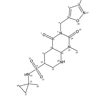 Cc1cc(CN2C(=O)C3CC(S(=O)(=O)NC4(C)CC4)CNC3N(C)C2=O)on1